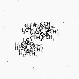 C[Si](C)([O])CC[Si](C)(CC[Si]1(C)O[Si](C)(C)O[Si](C)(C)O[Si](C)(C)O1)CC[Si]1(C)O[Si](C)(C)O[Si](C)(C)O[Si](C)(C)O1